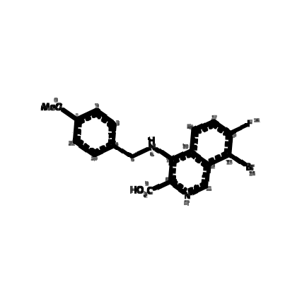 COc1ccc(CNc2c(C(=O)O)ncc3c(Br)c(F)ccc23)cc1